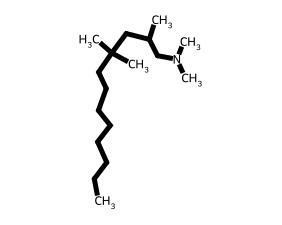 CCCCCCCCC(C)(C)CC(C)CN(C)C